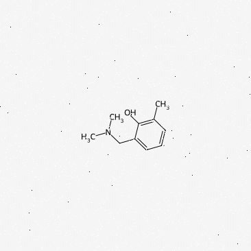 Cc1c[c]cc(CN(C)C)c1O